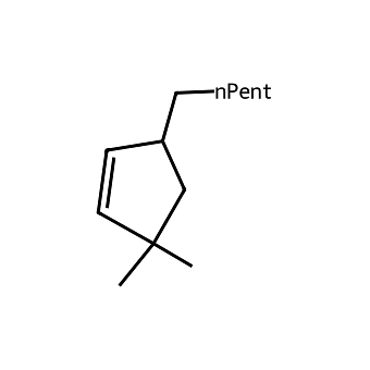 CCCCCCC1C=CC(C)(C)C1